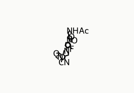 CC(=O)NCC1CN(c2ccc(N3CCC(=CC(C#N)N4CCOCC4)CC3)c(F)c2)C(=O)O1